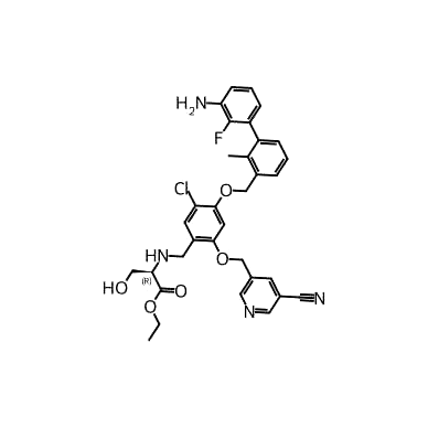 CCOC(=O)[C@@H](CO)NCc1cc(Cl)c(OCc2cccc(-c3cccc(N)c3F)c2C)cc1OCc1cncc(C#N)c1